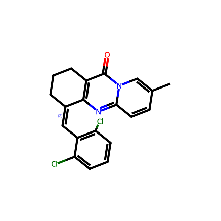 Cc1ccc2nc3c(c(=O)n2c1)CCC/C3=C/c1c(Cl)cccc1Cl